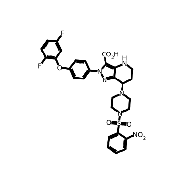 O=C(O)c1c2c(nn1-c1ccc(Oc3cc(F)ccc3F)cc1)[C@H](N1CCN(S(=O)(=O)c3ccccc3[N+](=O)[O-])CC1)CCN2